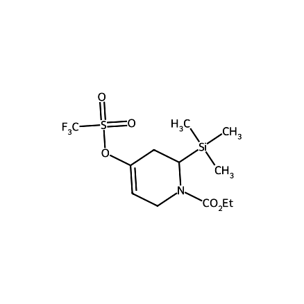 CCOC(=O)N1CC=C(OS(=O)(=O)C(F)(F)F)CC1[Si](C)(C)C